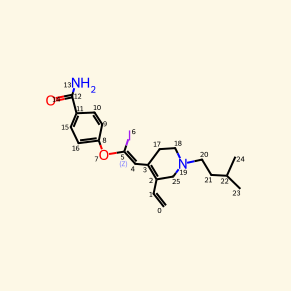 C=CC1=C(/C=C(\I)Oc2ccc(C(N)=O)cc2)CCN(CCC(C)C)C1